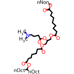 CCCCCCCCCOC(=O)CCCCCCCC(=O)OCC(COC(=O)CCCCCC(=O)OC(CCCCCCCC)CCCCCCCC)OC(=O)CCCN(C)C